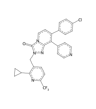 O=c1n(Cc2ccc(C(F)(F)F)nc2C2CC2)nc2c(-c3ccncc3)c(-c3ccc(Cl)cc3)ccn12